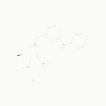 CC(C(=O)O[C@H](C)[C@H](NC(=O)OC(C)(C)C)C(=O)OC(C)(C)C)c1cccc(C(=O)c2ccccc2)c1